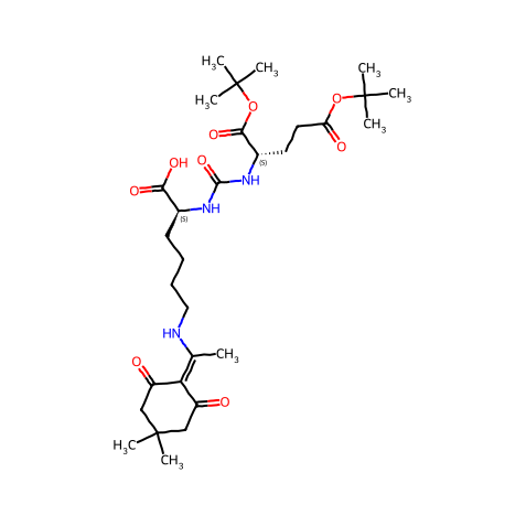 CC(NCCCC[C@H](NC(=O)N[C@@H](CCC(=O)OC(C)(C)C)C(=O)OC(C)(C)C)C(=O)O)=C1C(=O)CC(C)(C)CC1=O